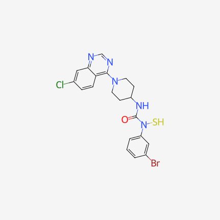 O=C(NC1CCN(c2ncnc3cc(Cl)ccc23)CC1)N(S)c1cccc(Br)c1